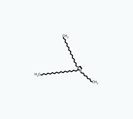 CCCCCCCCCCCCCCCCCCC1N(CCCCCCCC)C=CN1CCCCCCCCCCCCCCCC